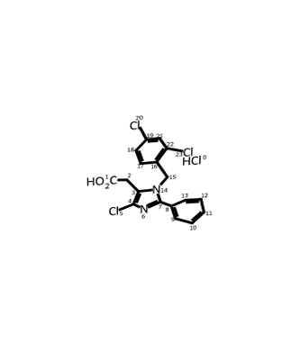 Cl.O=C(O)Cc1c(Cl)nc(-c2ccccc2)n1Cc1ccc(Cl)cc1Cl